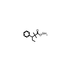 CCC(c1ccccc1)C(C)(C)C(=O)O[SiH3]